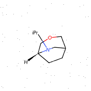 CC(C)N1CC2CC[C@@H]1COC2